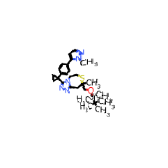 Cn1nccc1-c1ccc(C2(c3nnc4n3CCSC(C)(CO[Si](C)(C)C(C)(C)C)C4)CC2)cc1